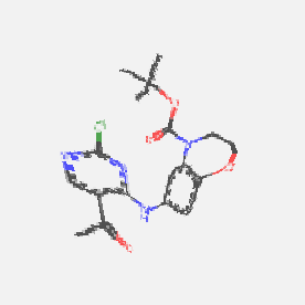 CC(=O)c1cnc(Cl)nc1Nc1ccc2c(c1)N(C(=O)OC(C)(C)C)CCO2